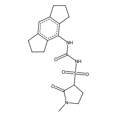 CN1CCC(S(=O)(=O)NC(=O)Nc2c3c(cc4c2CCC4)CCC3)C1=O